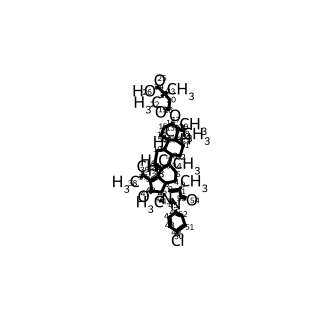 Cc1c([C@@]23CC[C@]4(C)[C@H](CC[C@@H]5[C@@]6(C)CC[C@H](OC(=O)CC(C)(C)C(=O)O)C(C)(C)[C@@H]6CC[C@]54C)C2=C(C(C)C)C(=O)C3)n(C)n(-c2ccc(Cl)cc2)c1=O